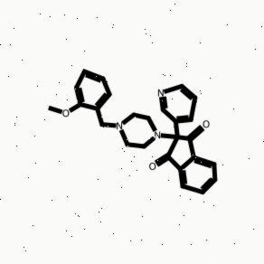 COc1ccccc1CN1CCN(C2(c3cccnc3)C(=O)c3ccccc3C2=O)CC1